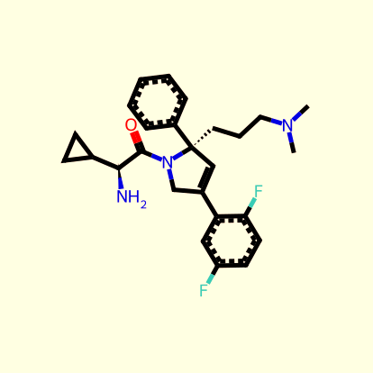 CN(C)CCC[C@]1(c2ccccc2)C=C(c2cc(F)ccc2F)CN1C(=O)[C@@H](N)C1CC1